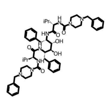 CC(C)[C@H](NC(=O)N1CCN(Cc2ccccc2)CC1)C(=O)N[C@@H](Cc1ccccc1)[C@H](O)[C@@H](O)[C@H](Cc1ccccc1)NC(=O)[C@@H](NC(=O)N1CCN(Cc2ccccc2)CC1)C(C)C